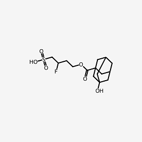 O=C(OCCC(F)CS(=O)(=O)O)C12CC3CC(CC(O)(C3)C1)C2